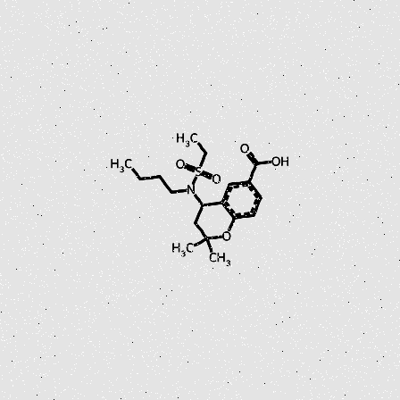 CCCCN(C1CC(C)(C)Oc2ccc(C(=O)O)cc21)S(=O)(=O)CC